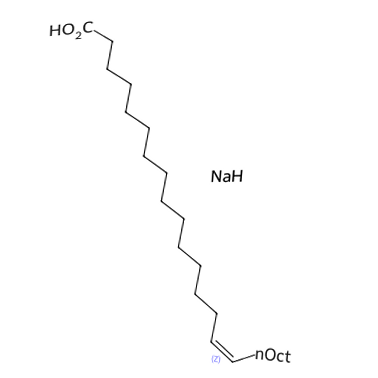 CCCCCCCC/C=C\CCCCCCCCCCCCCC(=O)O.[NaH]